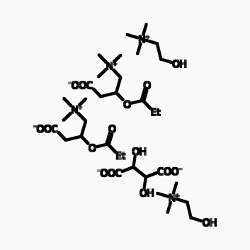 CCC(=O)OC(CC(=O)[O-])C[N+](C)(C)C.CCC(=O)OC(CC(=O)[O-])C[N+](C)(C)C.C[N+](C)(C)CCO.C[N+](C)(C)CCO.O=C([O-])C(O)C(O)C(=O)[O-]